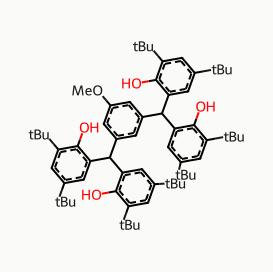 COc1cc(C(c2cc(C(C)(C)C)cc(C(C)(C)C)c2O)c2cc(C(C)(C)C)cc(C(C)(C)C)c2O)cc(C(c2cc(C(C)(C)C)cc(C(C)(C)C)c2O)c2cc(C(C)(C)C)cc(C(C)(C)C)c2O)c1